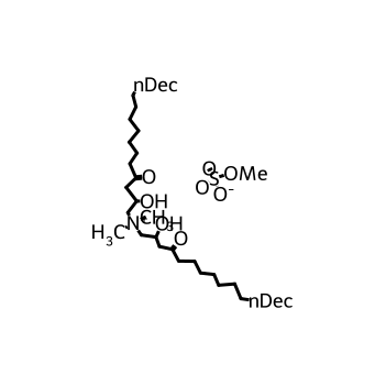 CCCCCCCCCCCCCCCCCC(=O)CC(O)C[N+](C)(C)CC(O)CC(=O)CCCCCCCCCCCCCCCCC.COS(=O)(=O)[O-]